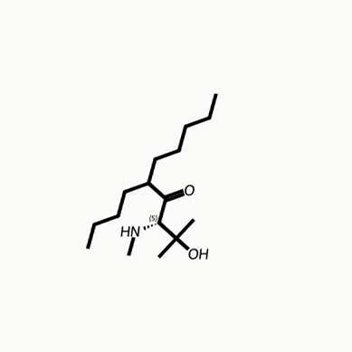 CCCCCC(CCCC)C(=O)[C@@H](NC)C(C)(C)O